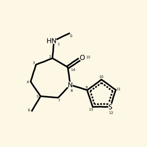 CNC1CCC(C)CN(c2ccsc2)C1=O